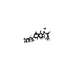 C=C(Nc1cc2ccc(C3=CC=C(/C=N\NC)CC3)cc2cn1)C1CC1